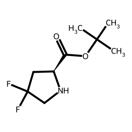 CC(C)(C)OC(=O)[C@@H]1CC(F)(F)CN1